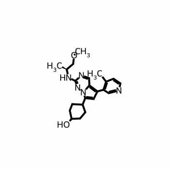 COC[C@H](C)Nc1ncc2c(-c3cnccc3C)cc(C3CCC(O)CC3)n2n1